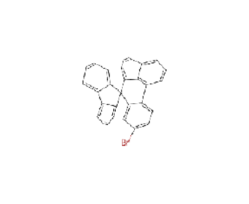 Brc1ccc2c(c1)C1(c3ccccc3-c3ccccc31)c1cccc3cccc-2c13